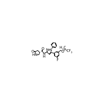 C[C@H](OCc1cc(F)cc(-c2cc(NC(=O)[C@@H]3CNC(=O)C3)nn2-c2ccccc2)c1)C(F)(F)F